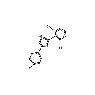 Fc1ccc(-c2c[nH]c(-c3c(Cl)cccc3Cl)n2)cc1